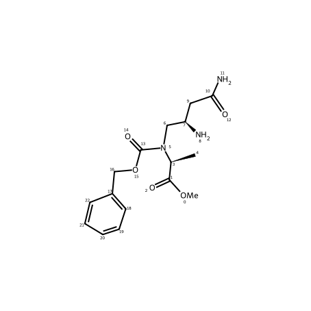 COC(=O)[C@H](C)N(C[C@H](N)CC(N)=O)C(=O)OCc1ccccc1